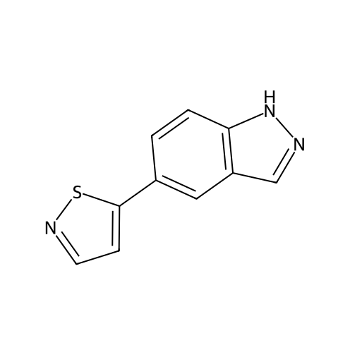 c1cc(-c2ccc3[nH]ncc3c2)sn1